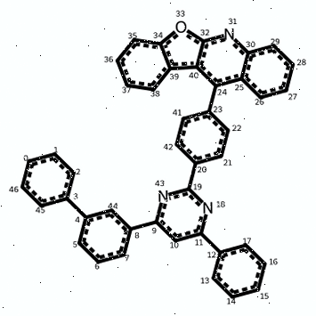 c1ccc(-c2cccc(-c3cc(-c4ccccc4)nc(-c4ccc(-c5c6ccccc6nc6oc7ccccc7c56)cc4)n3)c2)cc1